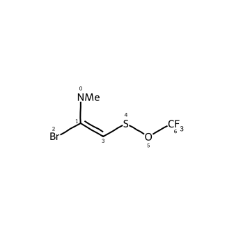 CN/C(Br)=C\SOC(F)(F)F